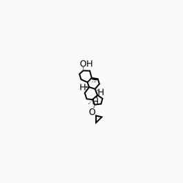 C[C@]12CC[C@H]3[C@@H](CC=C4C[C@@H](O)CC[C@@]43C)[C@@H]1CC[C@@H]2OC1CC1